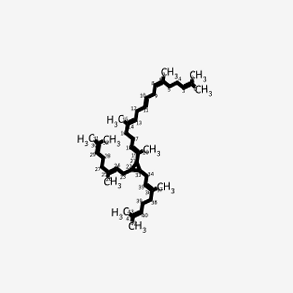 CC(C)=CCCC(C)=CCC=CCC=C(C)CCC=C(C)C1C(C/C=C(\C)CCC=C(C)C)C1C/C=C(\C)CCC=C(C)C